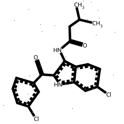 CC(C)CC(=O)Nc1c(C(=O)c2cccc(Cl)c2)[nH]c2cc(Cl)ccc12